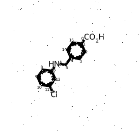 O=C(O)c1ccc(CNc2cccc(Cl)c2)cc1